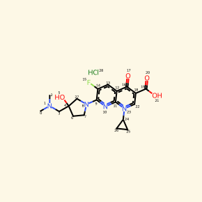 CN(C)CC1(O)CCN(c2nc3c(cc2F)c(=O)c(C(=O)O)cn3C2CC2)C1.Cl